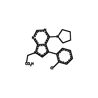 O=C(O)Cn1cc(-c2ccccc2Cl)c2c(N3CCCC3)ncnc21